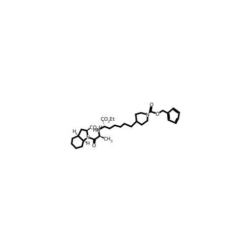 CCOC(=O)[C@H](CCCCCC1CCN(C(=O)OCc2ccccc2)CC1)N[C@@H](C)C(=O)N1[C@H](C(=O)O)C[C@@H]2CCCC[C@@H]21